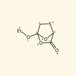 CCOC12CSC(O1)C(=O)O2